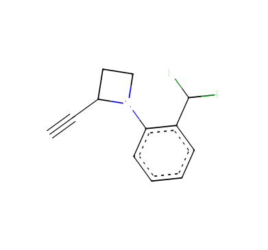 C#CC1CCN1c1ccccc1C(F)F